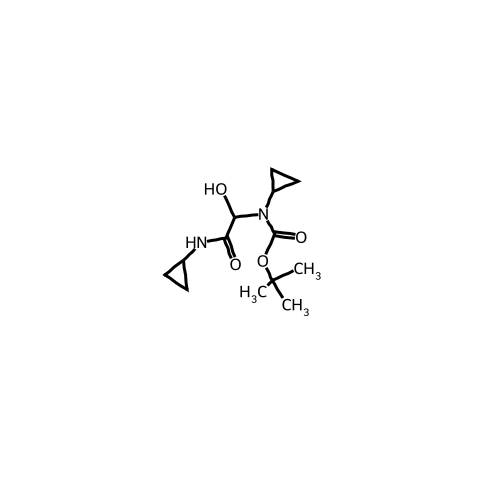 CC(C)(C)OC(=O)N(C1CC1)C(O)C(=O)NC1CC1